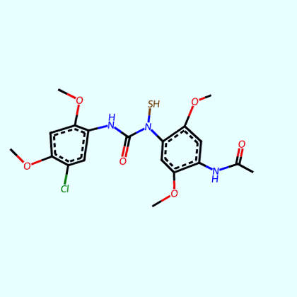 COc1cc(OC)c(NC(=O)N(S)c2cc(OC)c(NC(C)=O)cc2OC)cc1Cl